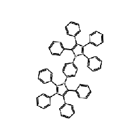 c1ccc(-c2c(-c3ccccc3)c(-c3ccccc3)n(-c3ccc(-n4c(-c5ccccc5)c(-c5ccccc5)c(-c5ccccc5)c4-c4ccccc4)cc3)c2-c2ccccc2)cc1